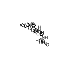 Cn1cc(-c2ccnc(-n3ccn4c5c(cc4c3=O)CC(C)(C)C5)c2CO)cc(Nc2ccc(N[C@@](C)(O)CNC3COC3)cn2)c1=O